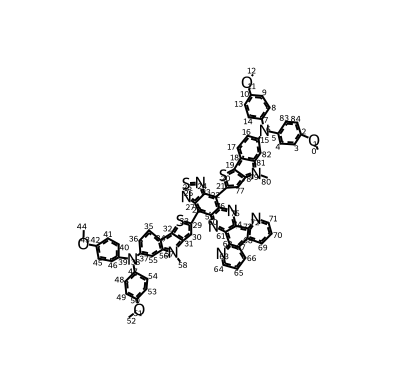 COc1ccc(N(c2ccc(OC)cc2)c2ccc3c4sc(-c5c6nsnc6c(-c6cc7c(s6)c6ccc(N(c8ccc(OC)cc8)c8ccc(OC)cc8)cc6n7C)c6nc7c8ncccc8c8cccnc8c7nc56)cc4n(C)c3c2)cc1